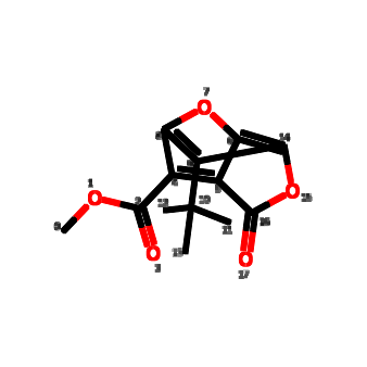 COC(=O)c1c2c3oc1c(C(C)(C)C)c3OC2=O